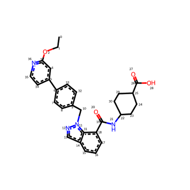 CCOc1cc(-c2ccc(Cn3ncc4cccc(C(=O)NC5CCC(C(=O)O)CC5)c43)cc2)ccn1